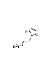 [CH2]CCC=CCc1ncc[nH]1